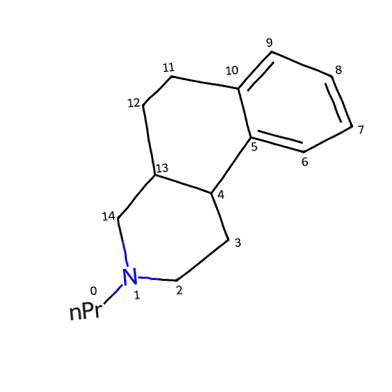 CCCN1CCC2c3ccccc3CCC2C1